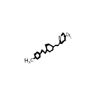 Cc1ccc(CCC2CCC(CCc3ccc(C)cn3)CC2)cc1